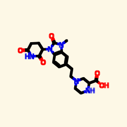 Cn1c(=O)n(C2CCC(=O)NC2=O)c2ccc(CCN3CCNC(C(=O)O)C3)cc21